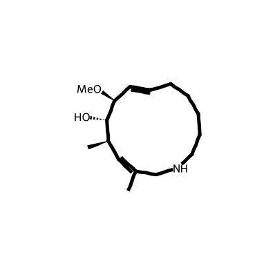 CO[C@H]1/C=C/CCCCCNC/C(C)=C\[C@@H](C)[C@@H]1O